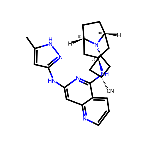 Cc1cc(Nc2cc3ncccc3c(N[C@@H]3C[C@H]4CC[C@@H](C3)N4[C@H]3C[C@@H](C#N)C3)n2)n[nH]1